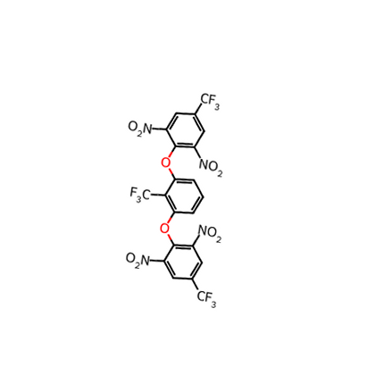 O=[N+]([O-])c1cc(C(F)(F)F)cc([N+](=O)[O-])c1Oc1cccc(Oc2c([N+](=O)[O-])cc(C(F)(F)F)cc2[N+](=O)[O-])c1C(F)(F)F